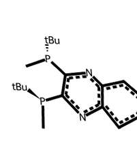 C[P@](c1nc2ccccc2nc1[P@](C)C(C)(C)C)C(C)(C)C